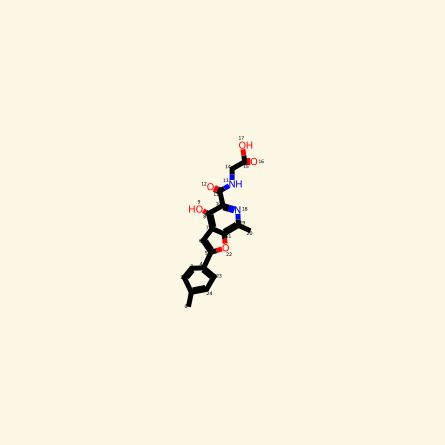 Cc1ccc(-c2cc3c(O)c(C(=O)NCC(=O)O)nc(C)c3o2)cc1